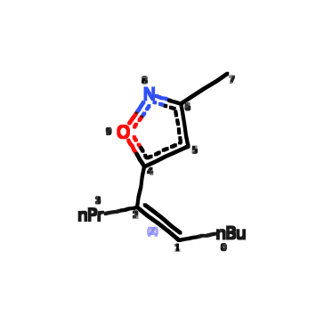 CCCC/C=C(/CCC)c1cc(C)no1